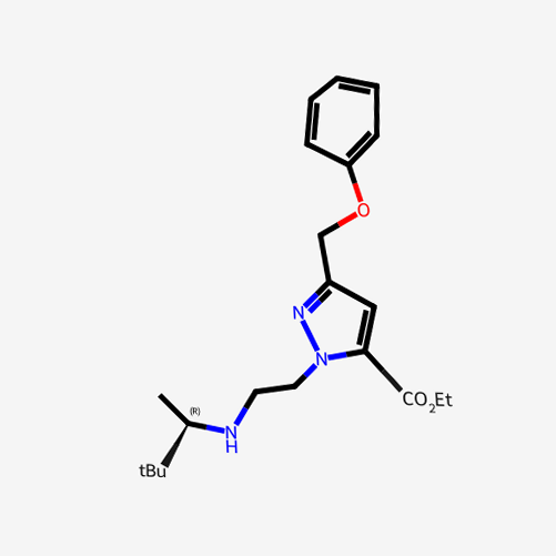 CCOC(=O)c1cc(COc2ccccc2)nn1CCN[C@H](C)C(C)(C)C